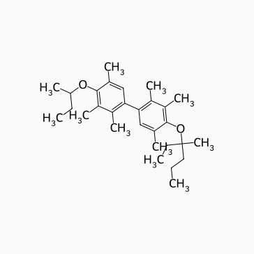 CCCC(C)(CC)Oc1c(C)cc(-c2cc(C)c(OC(C)CC)c(C)c2C)c(C)c1C